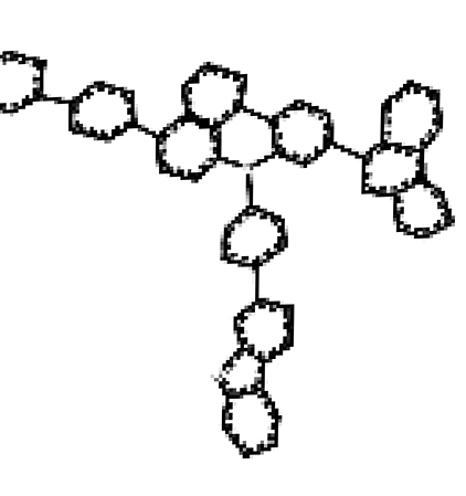 c1ccc(-c2ccc(-c3ccc(N(c4ccc(-c5ccc6c(c5)oc5ccccc56)cc4)c4cc(-c5cc6ccccc6c6ccccc56)ccc4-c4ccccc4)cc3)cc2)cc1